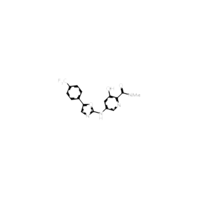 CNC(=O)c1ncc(Nc2ncc(-c3ccc(C(F)(F)F)cc3)o2)cc1O